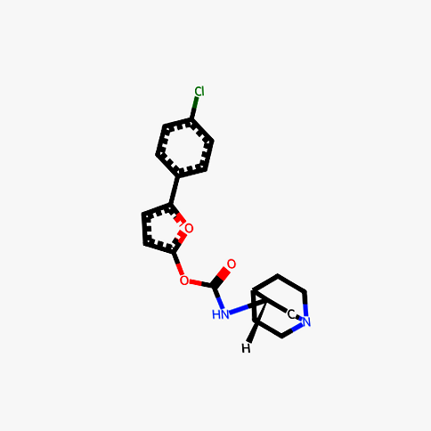 O=C(N[C@H]1CN2CCC1CC2)Oc1ccc(-c2ccc(Cl)cc2)o1